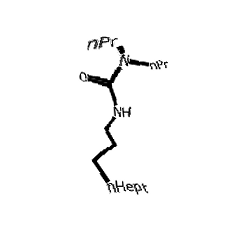 CCCCCCCCCCNC(=O)N(CCC)CCC